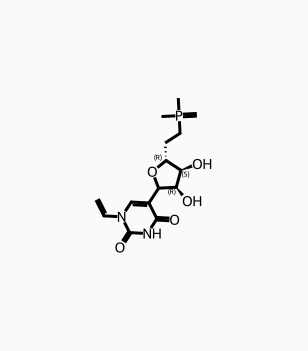 C=Cn1cc(C2O[C@H](CCP(=C)(C)C)[C@@H](O)[C@H]2O)c(=O)[nH]c1=O